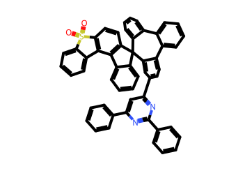 O=S1(=O)c2ccccc2-c2c1ccc1c2-c2ccccc2C12c1ccccc1-c1ccccc1-c1ccc(-c3cc(-c4ccccc4)nc(-c4ccccc4)n3)cc12